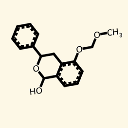 COCOc1cccc2c1CC(c1ccccc1)OC2O